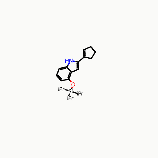 CC(C)[Si](Oc1cccc2[nH]c(C3=CCCC3)cc12)(C(C)C)C(C)C